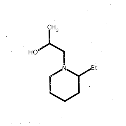 CCC1CCCCN1CC(C)O